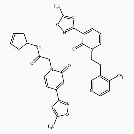 O=C(Cn1ccc(-c2noc(C(F)(F)F)n2)cc1=O)NC1CC=CC1.O=c1c(-c2noc(C(F)(F)F)n2)cccn1CCc1cnccc1C(F)(F)F